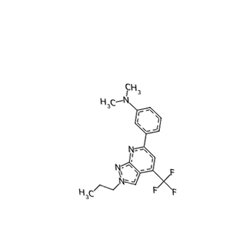 CCCn1cc2c(C(F)(F)F)cc(-c3cccc(N(C)C)c3)nc2n1